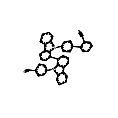 N#Cc1ccc(-n2c3ccccc3c3cccc(-c4cccc5c6ccccc6n(-c6ccc(-c7ccccc7C#N)cc6)c45)c32)cc1